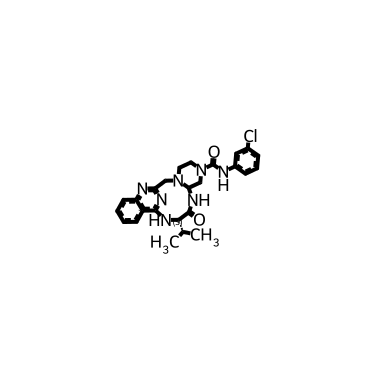 CC(C)[C@@H]1Nc2nc(nc3ccccc23)CN2CCN(C(=O)Nc3cccc(Cl)c3)CC2NC1=O